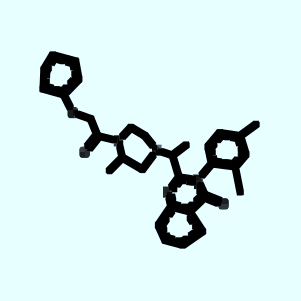 Cc1ccc(-n2c(C(C)N3CCN(C(=O)COc4ccccc4)C(C)C3)nc3ccccc3c2=O)c(C)c1